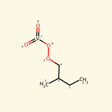 CCC(C)CO[O][V](=[O])=[O]